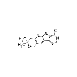 CC1(C)Cc2nc3sc4c(Cl)ncnc4c3cc2CO1